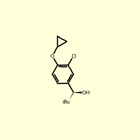 CC[C@@H](C)[C@H](O)c1ccc(OC2CC2)c(Cl)c1